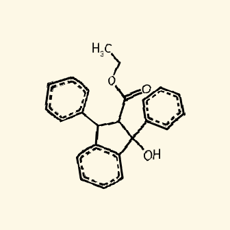 CCOC(=O)C1C(c2ccccc2)c2ccccc2C1(O)c1ccccc1